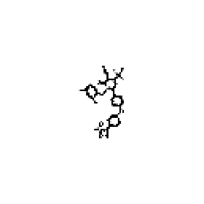 Cc1ccc(Cn2c(-c3ccc(Oc4ccc(NS(C)(=O)=O)cc4)cc3)cc(C(F)(F)F)c(C#N)c2=O)c(C)c1